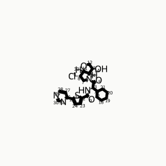 O=C(N[C@H](C(=O)N1C[C@H](Cl)[C@H]2OC[C@H](O)[C@H]21)C1CCCCC1)c1ccc(-c2ccncn2)s1